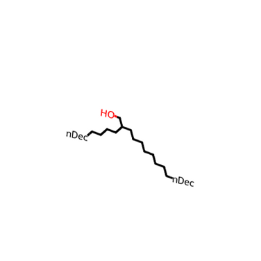 CCCCCCCCCCCCCCCCCCC(CO)CCCCCCCCCCCCCC